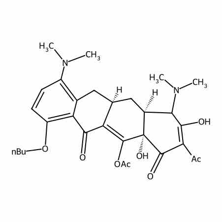 CCCCOc1ccc(N(C)C)c2c1C(=O)C1=C(OC(C)=O)[C@]3(O)C(=O)C(C(C)=O)=C(O)C(N(C)C)[C@@H]3C[C@@H]1C2